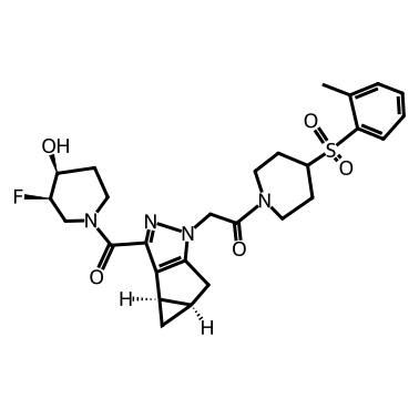 Cc1ccccc1S(=O)(=O)C1CCN(C(=O)Cn2nc(C(=O)N3CC[C@H](O)[C@H](F)C3)c3c2C[C@H]2C[C@@H]32)CC1